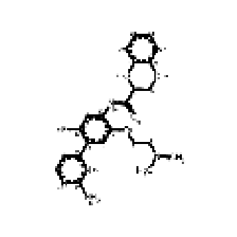 CN(C)CCOc1cc(-c2ccnc(N)n2)c(F)cc1NC(=O)C1COc2ccccc2O1